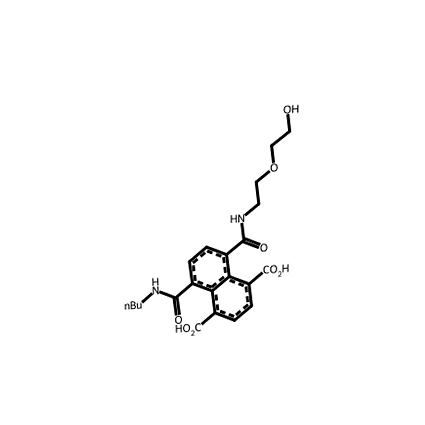 CCCCNC(=O)c1ccc(C(=O)NCCOCCO)c2c(C(=O)O)ccc(C(=O)O)c12